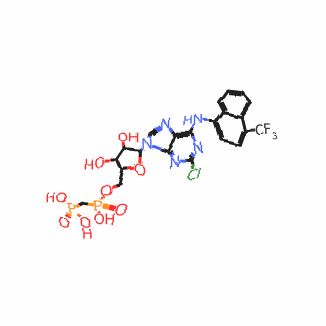 O=P(O)(O)CP(=O)(O)OCC1OC(n2cnc3c(Nc4ccc(C(F)(F)F)c5ccccc45)nc(Cl)nc32)C(O)C1O